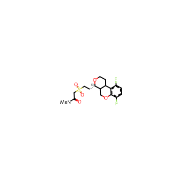 CNC(=O)CS(=O)(=O)CC[C@@H]1OCCC2c3c(F)ccc(F)c3OCC21